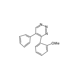 COc1ccccc1-c1nnncc1-c1ccccc1